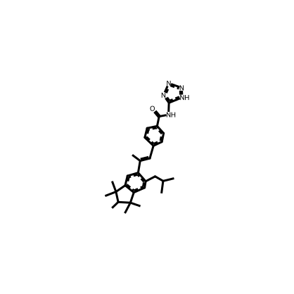 CC(=Cc1ccc(C(=O)Nc2nnn[nH]2)cc1)c1cc2c(cc1CC(C)C)C(C)(C)C(C)C2(C)C